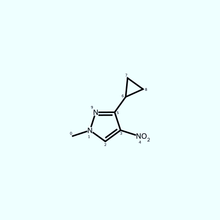 Cn1cc([N+](=O)[O-])c(C2CC2)n1